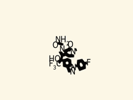 Cn1ccc2c(C(O)(c3ccc4c(cnn4-c4ccc(F)cc4)c3)C(F)(F)F)cn(CC(N)=O)c2c1=O